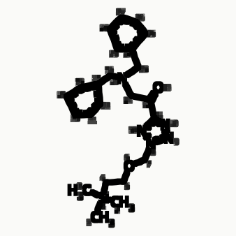 C[Si](C)(C)CCOCn1nnc(C(=O)CN(Cc2ccccc2)Cc2ccccc2)n1